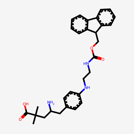 CC(C)(CC(N)Cc1ccc(NCCNC(=O)OCC2c3ccccc3-c3ccccc32)cc1)C(=O)O